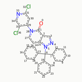 O=c1c2cnn(C(c3ccccc3)(c3ccccc3)c3ccccc3)c2ccn1-c1cc(Cl)ncc1Cl